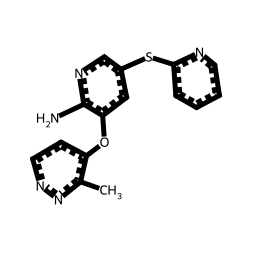 Cc1nnccc1Oc1cc(Sc2ccccn2)cnc1N